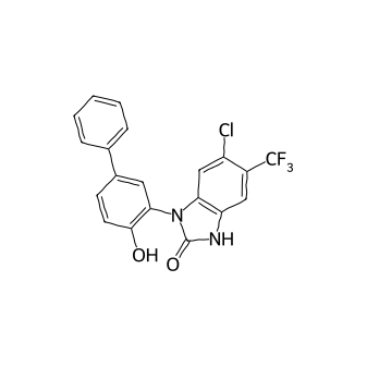 O=c1[nH]c2cc(C(F)(F)F)c(Cl)cc2n1-c1cc(-c2ccccc2)ccc1O